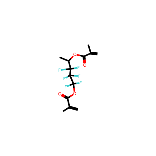 C=C(C)C(=O)OC(C)C(F)(F)C(F)(F)C(F)(F)OC(=O)C(=C)C